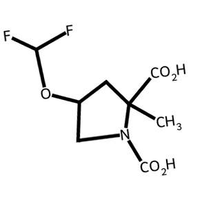 CC1(C(=O)O)CC(OC(F)F)CN1C(=O)O